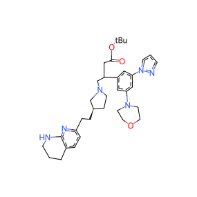 CC(C)(C)OC(=O)CC(CN1CC[C@@H](CCc2ccc3c(n2)NCCC3)C1)c1cc(N2CCOCC2)cc(-n2cccn2)c1